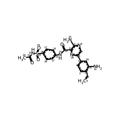 C=Cc1ccc(-c2cnc(N)c(C(=O)Nc3ccc(S(=O)(=O)NC(C)=O)cc3)n2)cc1N